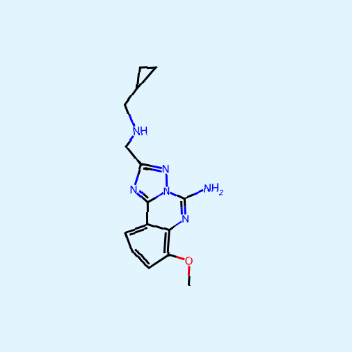 COc1cccc2c1nc(N)n1nc(CNCC3CC3)nc21